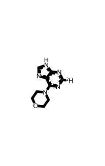 [2H]c1nc(N2CCOCC2)c2nc[nH]c2n1